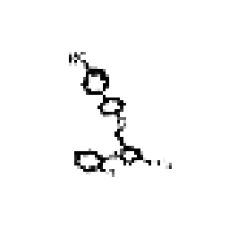 N#Cc1ccc(-c2ccc(OCc3cc(C(F)(F)F)nn3-c3ccccc3Cl)cc2)cc1